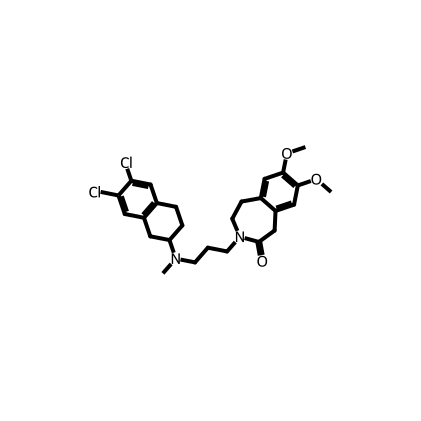 COc1cc2c(cc1OC)CC(=O)N(CCCN(C)C1CCc3cc(Cl)c(Cl)cc3C1)CC2